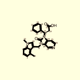 Cc1cccc2c1c(Cn1c(=O)n([C@H](CC(=O)O)c3ccccc3)c3ccncc31)cn2C